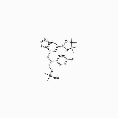 CC1(C)OB(c2cc(OC(CO[Si](C)(C)C(C)(C)C)c3ccc(F)cn3)c3ccnn3c2)OC1(C)C